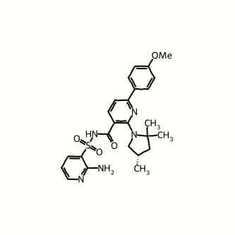 COc1ccc(-c2ccc(C(=O)NS(=O)(=O)c3cccnc3N)c(N3C[C@@H](C)CC3(C)C)n2)cc1